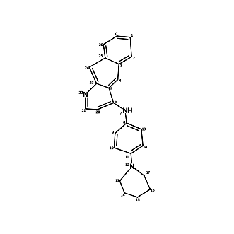 c1ccc2cc3c(Nc4ccc(N5CCCCC5)cc4)ccnc3cc2c1